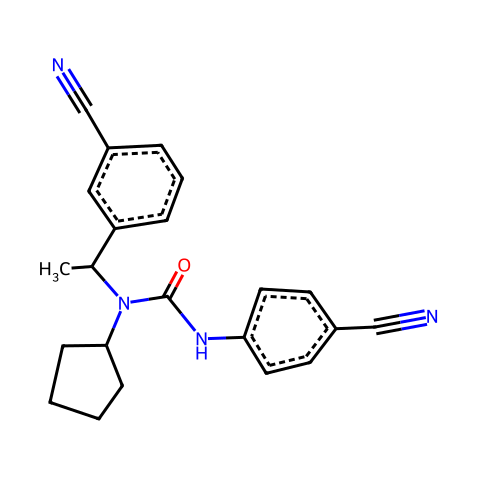 CC(c1cccc(C#N)c1)N(C(=O)Nc1ccc(C#N)cc1)C1CCCC1